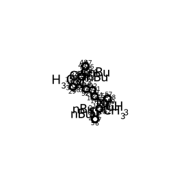 CCCC[Si]1(CCCC)c2ccccc2-c2cc3c(cc21)N(c1ccc2c(ccc4cc(N5c6ccccc6C(C)(C)c6cc7c(cc65)[Si](CCCC)(CCCC)c5ccccc5-7)ccc42)c1)c1ccccc1C3(C)C